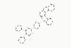 C[Si]1(C)c2ccccc2-c2c(-c3ccccc3)nc(-c3ccc(-n4c5ccccc5c5c6c(ccc54)oc4ccccc46)cc3)nc21